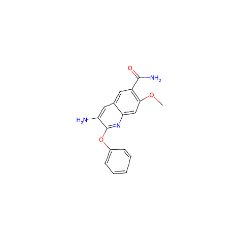 COc1cc2nc(Oc3ccccc3)c(N)cc2cc1C(N)=O